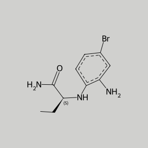 CC[C@H](Nc1ccc(Br)cc1N)C(N)=O